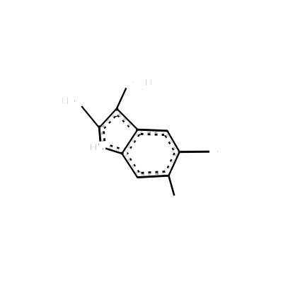 Cc1cc2[nH]c(C)c(C(=O)O)c2cc1O